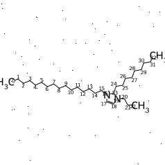 CCCCCCCCCCCCCCCCN1C=CN(CCC)C1CCCCCCCCC